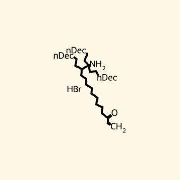 Br.C=CC(=O)CCCCCCCCCC(CCCCCCCCCCCC)C(N)(CCCCCCCCCCCC)CCCCCCCCCCCC